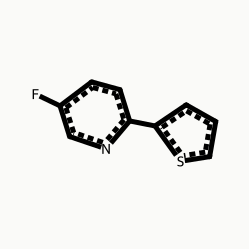 Fc1ccc(-c2cccs2)nc1